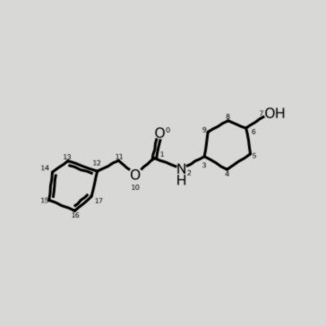 O=C(NC1CCC(O)CC1)OCc1ccccc1